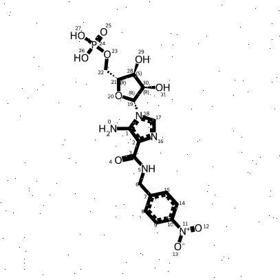 Nc1c(C(=O)NCc2ccc([N+](=O)[O-])cc2)ncn1[C@@H]1O[C@H](COP(=O)(O)O)[C@@H](O)[C@H]1O